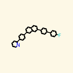 Fc1ccc(-c2ccc(-c3ccc4ccc(-c5ccc(-c6ccccn6)cc5)cc4c3)cc2)cc1